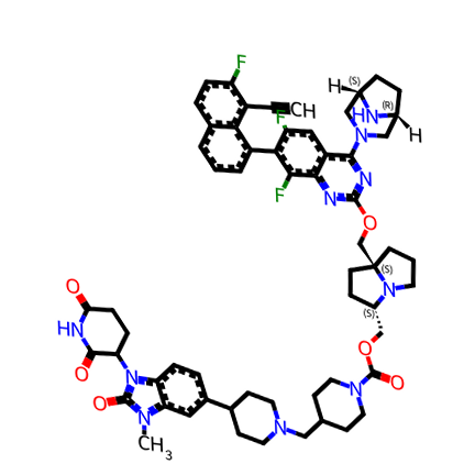 C#Cc1c(F)ccc2cccc(-c3c(F)cc4c(N5C[C@H]6CC[C@@H](C5)N6)nc(OC[C@@]56CCCN5[C@H](COC(=O)N5CCC(CN7CCC(c8ccc9c(c8)n(C)c(=O)n9C8CCC(=O)NC8=O)CC7)CC5)CC6)nc4c3F)c12